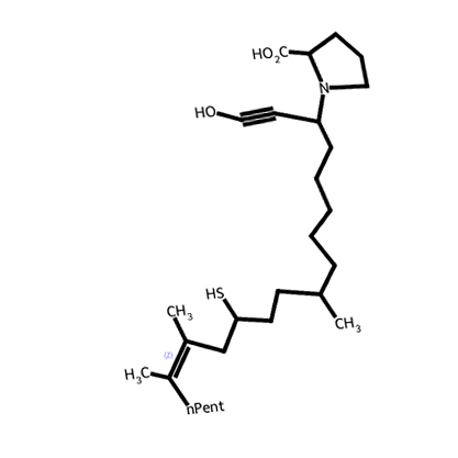 CCCCC/C(C)=C(/C)CC(S)CCC(C)CCCCCC(C#CO)N1CCCC1C(=O)O